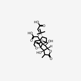 CC1C(=O)O[C@H]2[C@H](O)[C@@]34C5C[C@@H](C(C)(C)C)C3([C@@H](OCC(=O)O)C(=O)O)CCO[C@@]4(C(=O)O5)[C@@]12O